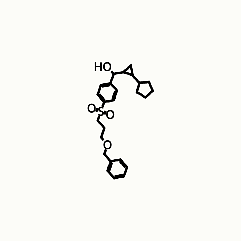 O=S(=O)(CCCOCc1ccccc1)c1ccc(C(O)C2CC2C2CCCC2)cc1